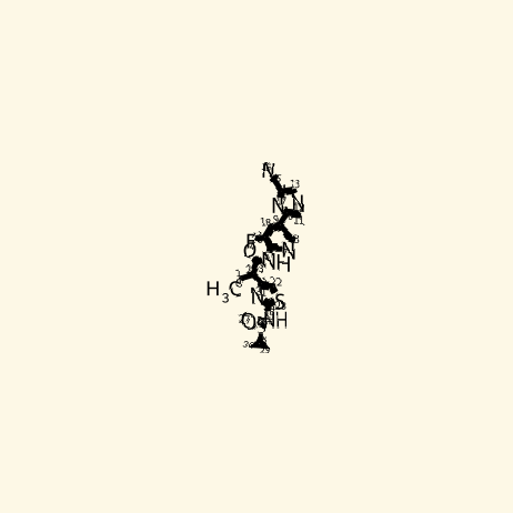 CCC(C(=O)Nc1ncc(-c2cncc(C#N)n2)cc1F)c1csc(N[S+]([O-])C2CC2)n1